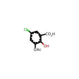 CC(=O)Oc1cc(Cl)cc(C(=O)O)c1O